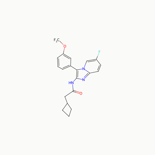 O=C(CC1CCC1)Nc1nc2ccc(F)cn2c1-c1cccc(OC(F)(F)F)c1